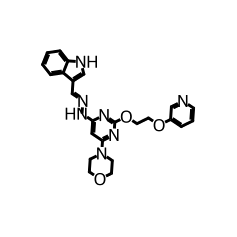 C(=NNc1cc(N2CCOCC2)nc(OCCOc2cccnc2)n1)c1c[nH]c2ccccc12